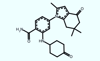 Cc1cc2c(n1-c1ccc(C(N)=O)c(NC3CCC(=O)CC3)c1)CC(C)(C)CC2=O